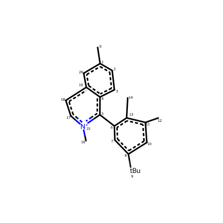 Cc1ccc2c(-c3cc(C(C)(C)C)cc(C)c3C)[n+](C)ccc2c1